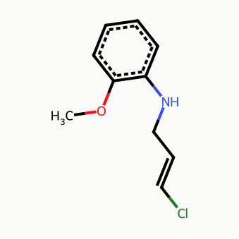 COc1ccccc1NCC=CCl